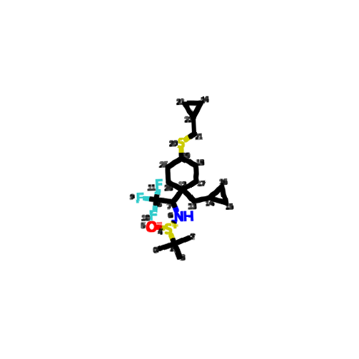 CC(C)(C)[S+]([O-])NC(C(F)(F)F)C1(CC2CC2)CCC(SCC2CC2)CC1